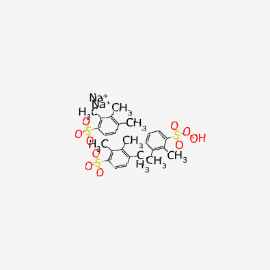 Cc1ccc(S(=O)(=O)[O-])c(C)c1C.Cc1ccc(S(=O)(=O)[O-])c(C)c1C.Cc1cccc(S(=O)(=O)OO)c1C.[Na+].[Na+]